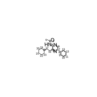 CC(=O)Nc1ncc(-c2ccccc2)nc1CCC1CCCCC1